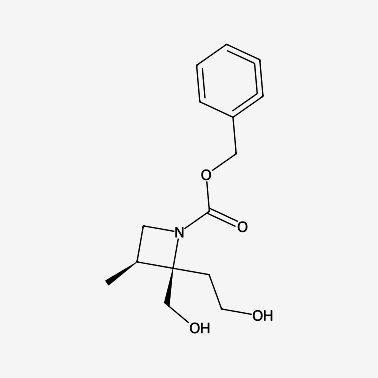 C[C@H]1CN(C(=O)OCC2=C=C=CC=C2)[C@]1(CO)CCO